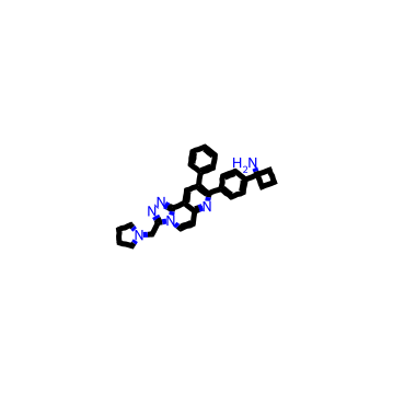 NC1(c2ccc(-c3nc4ccn5c(CN6CCCC6)nnc5c4cc3-c3ccccc3)cc2)CCC1